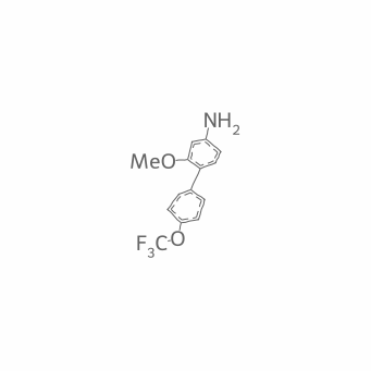 COc1cc(N)ccc1-c1ccc(OC(F)(F)F)cc1